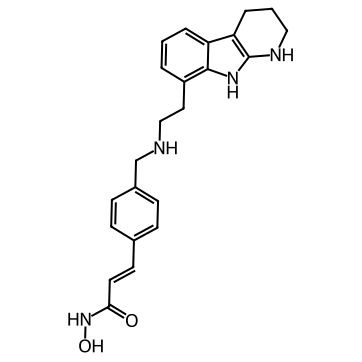 O=C(/C=C/c1ccc(CNCCc2cccc3c4c([nH]c23)NCCC4)cc1)NO